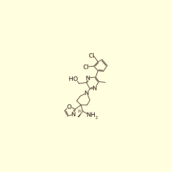 Cc1nc(N2CCC(c3ncco3)([C@H](C)N)CC2)c(CO)nc1-c1cccc(Cl)c1Cl